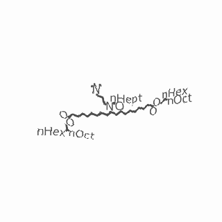 CCCCCCCCC(CCCCCC)COC(=O)CCCCCCCCC(CCCCCCCCC(=O)OCC(CCCCCC)CCCCCCCC)N(CCCN(C)C)C(=O)CCCCCCC